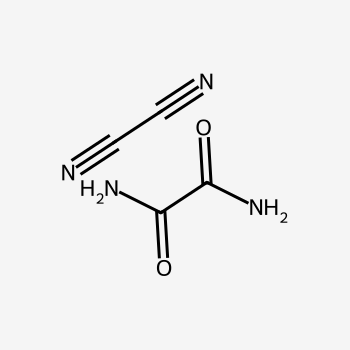 N#CC#N.NC(=O)C(N)=O